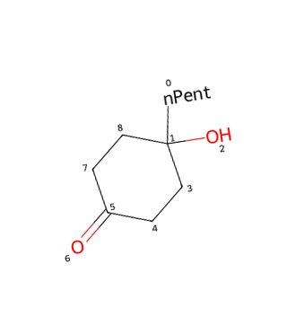 CCCCCC1(O)CCC(=O)CC1